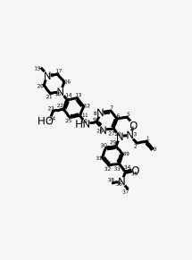 C=CCN1OCc2cnc(Nc3ccc(N4CCN(C)CC4)c(CO)c3)nc2N1c1cccc(C(=O)N(C)C)c1